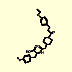 CCOc1ccc(CCC(=O)N2CCC(CC(=O)NC(Cc3ccc(OC)cc3)C(=O)O)CC2)cc1